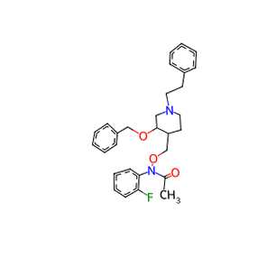 CC(=O)N(OCC1CCN(CCc2ccccc2)CC1OCc1ccccc1)c1ccccc1F